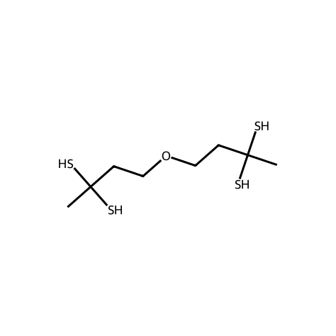 CC(S)(S)CCOCCC(C)(S)S